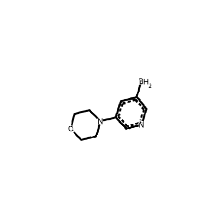 Bc1cncc(N2CCOCC2)c1